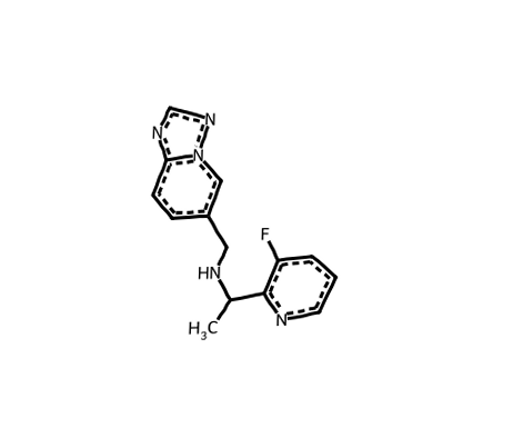 CC(NCc1ccc2ncnn2c1)c1ncccc1F